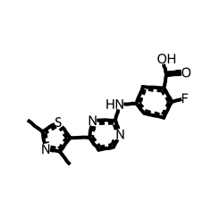 Cc1nc(C)c(-c2ccnc(Nc3ccc(F)c(C(=O)O)c3)n2)s1